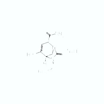 CC1=C[C@@H](C(N)=O)N2C[C@@H]1N(OS(=O)(=O)O)C2=O.[NaH]